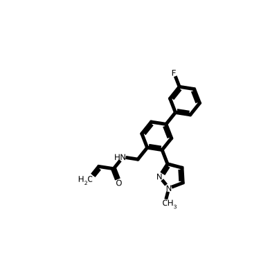 C=CC(=O)NCc1ccc(-c2cccc(F)c2)cc1-c1ccn(C)n1